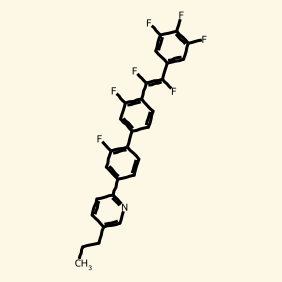 CCCc1ccc(-c2ccc(-c3ccc(/C(F)=C(\F)c4cc(F)c(F)c(F)c4)c(F)c3)c(F)c2)nc1